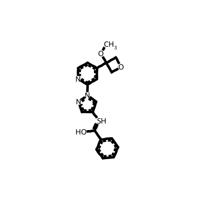 COC1(c2ccnc(-n3cc([SH]=C(O)c4ccccc4)cn3)c2)COC1